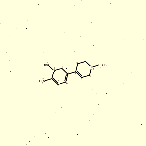 CC(C)(C)N1CC(C2=CCN(C(=O)O)CC2)=CC=C1N